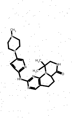 CN1CCN(c2ccc(Nc3ncc4c(n3)N3C(CC4)C(=O)NCC3(C)C)nc2)CC1